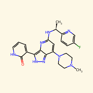 C[C@H](Nc1cc(N2CCN(C)CC2)c2n[nH]c(-c3ccc[nH]c3=O)c2n1)c1ccc(F)cn1